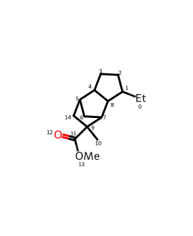 CCC1CCC2C3CC(C12)C(C)(C(=O)OC)C3